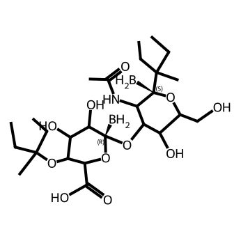 B[C@@]1(OC2C(O)C(CO)O[C@@](B)(C(C)(CC)CC)C2NC(C)=O)OC(C(=O)O)C(OC(C)(CC)CC)C(O)C1O